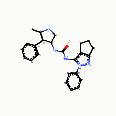 CC1NCC(NC(=O)Nc2c3c(nn2-c2ccccc2)CCC3)C1c1ccccc1